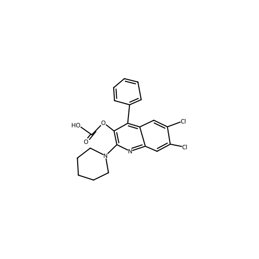 O=C(O)Oc1c(N2CCCCC2)nc2cc(Cl)c(Cl)cc2c1-c1ccccc1